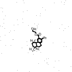 CC(=O)C1(C)CCCC2(C)c3cc(C(=O)OCCO)c(C(C)C)cc3CCC12